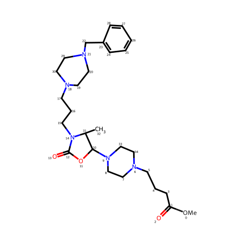 COC(=O)CCCN1CCN(C2OC(=O)N(CCCN3CCN(Cc4ccccc4)CC3)C2C)CC1